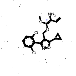 C=C/C(N)=C(/OC)OCc1c(-c2c(Cl)cccc2Cl)noc1C1CC1